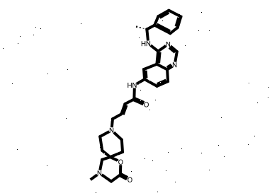 C[C@@H](Nc1ncnc2ccc(NC(=O)C=CCN3CCC4(CC3)CN(C)CC(=O)O4)cc12)c1ccccc1